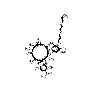 C=CCOCCOCCCO[C@H]1[C@H](C)O[C@@H](O[C@H]2[C@H](C)[C@@H](O[C@@H]3O[C@H](C)C[C@H](N(C)C)[C@H]3O)[C@](C)(O)C[C@@H](C)CN(C)[C@H](C)[C@@H](O)[C@](C)(O)[C@@H](CC)OC(=O)[C@@H]2C)C[C@@]1(C)OC